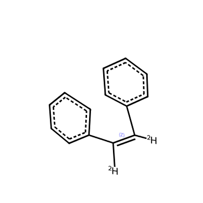 [2H]/C(=C(\[2H])c1ccccc1)c1ccccc1